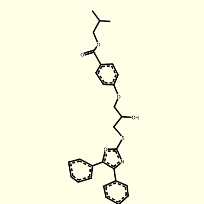 CC(C)COC(=O)c1ccc(OCC(O)CSc2nc(-c3ccccc3)c(-c3ccccc3)o2)cc1